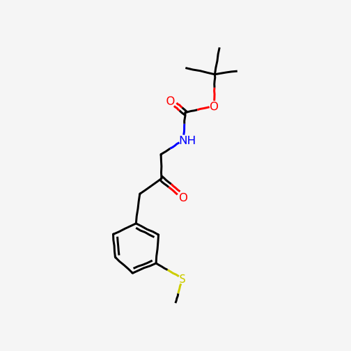 CSc1cccc(CC(=O)CNC(=O)OC(C)(C)C)c1